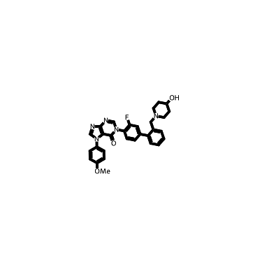 COc1ccc(-n2cnc3ncn(-c4ccc(-c5ccccc5CN5CCC(O)CC5)cc4F)c(=O)c32)cc1